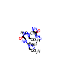 CCCCCNCC(N)=O.CN(C)CC(=O)O.NCC(=O)O.NCC(N)=O